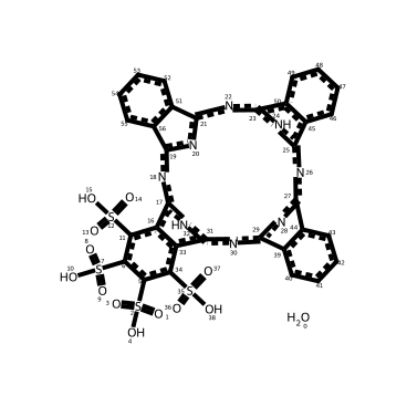 O.O=S(=O)(O)c1c(S(=O)(=O)O)c(S(=O)(=O)O)c2c3nc4nc(nc5[nH]c(nc6nc(nc([nH]3)c2c1S(=O)(=O)O)-c1ccccc1-6)c1ccccc51)-c1ccccc1-4